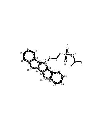 CC(C)OS(=O)(=O)CCCn1c2c3ccccc3sc2c2sc3ccccc3c21